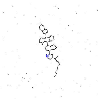 CCC/C=C/C=C\C=C(/C)c1ccnc(-c2ccc(-c3c4ccccc4c(-c4ccc5cc(C)ccc5c4)c4ccccc34)c3ccccc23)c1